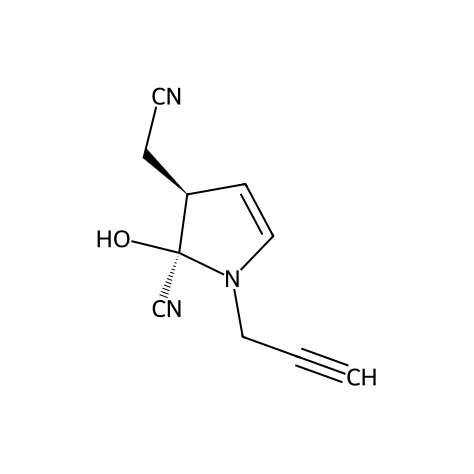 C#CCN1C=C[C@H](CC#N)[C@@]1(O)C#N